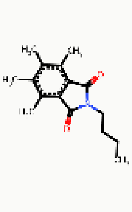 CCCCN1C(=O)c2c(C)c(C)c(C)c(C)c2C1=O